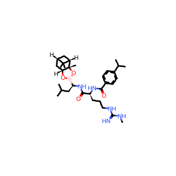 CNC(=N)NCCC[C@H](NC(=O)c1ccc(C(C)C)cc1)C(=O)N[C@@H](CC(C)C)B1O[C@@H]2C[C@@H]3C[C@@H](C3(C)C)[C@]2(C)O1